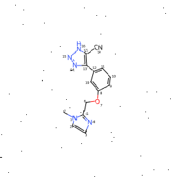 Cn1ccnc1COc1cccc(-c2nn[nH]c2C#N)c1